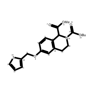 COC(=O)C1c2ccc(OCc3cccs3)cc2CCN1C(=O)OCC(C)C